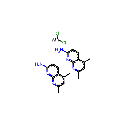 Cc1cc(C)c2ccc(N)nc2n1.Cc1cc(C)c2ccc(N)nc2n1.[Cl][Mn][Cl]